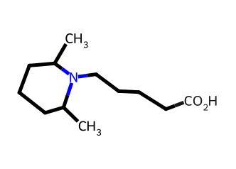 CC1CCCC(C)N1CCCCC(=O)O